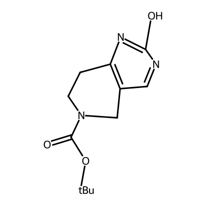 CC(C)(C)OC(=O)N1CCc2nc(O)ncc2C1